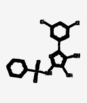 O=S(=O)(Nc1oc(-c2cc(Cl)cc(Cl)c2)c(O)c1O)c1ccccc1